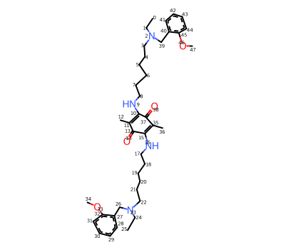 CCN(CCCCCCNC1=C(C)C(=O)C(NCCCCCCN(CC)Cc2ccccc2OC)=C(C)C1=O)Cc1ccccc1OC